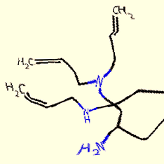 C=CCNC1(N(CC=C)CC=C)CCCCC1N